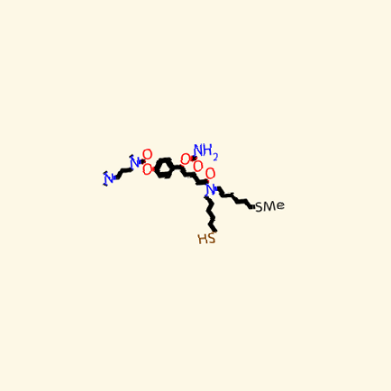 CSCCCCCCN(CCCCCCS)C(=O)CCCC(OC(N)=O)c1ccc(OC(=O)N(C)CCCN(C)C)cc1